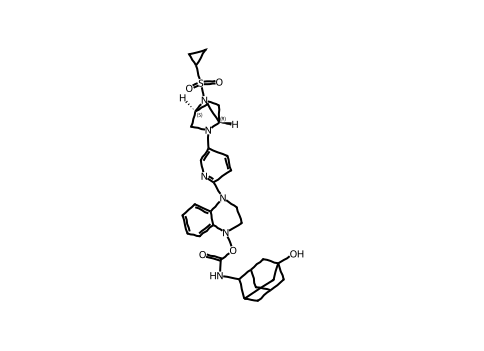 O=C(NC1C2CC3CC1CC(O)(C3)C2)ON1CCN(c2ccc(N3C[C@@H]4C[C@@H]3CN4S(=O)(=O)C3CC3)cn2)c2ccccc21